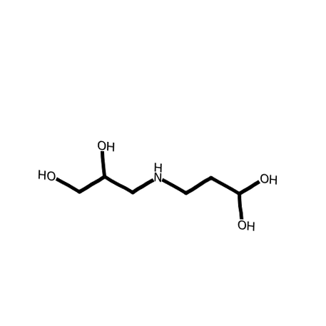 OCC(O)CNCCC(O)O